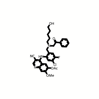 COc1cc2ncc(C#N)c(Nc3cc(Cl)c(F)cc3CN(CCCCCO)CC(=O)c3ccccc3)c2cc1OC(C)=O